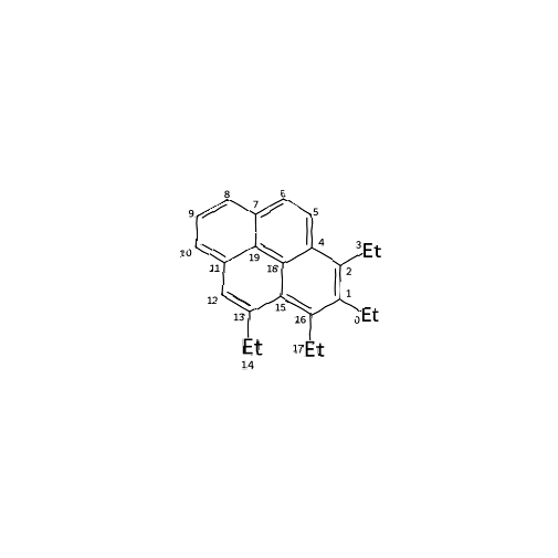 CCc1c(CC)c2ccc3cccc4cc(CC)c(c1CC)c2c34